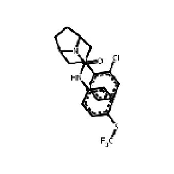 O=C(Nc1ccc(SC(F)(F)F)cc1)N1C2CCC1CN(c1ncccc1Cl)C2